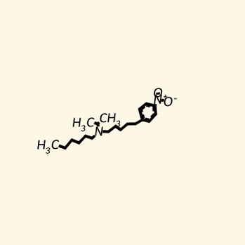 CCCCCCN(CCCCCc1ccc([N+](=O)[O-])cc1)C(C)C